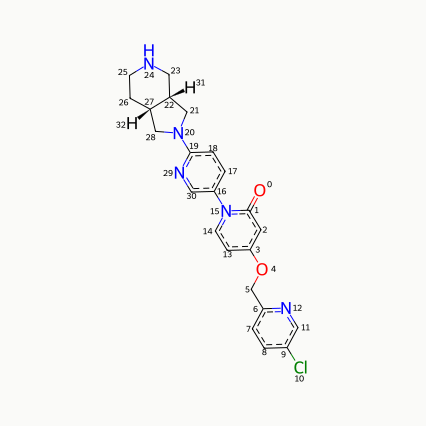 O=c1cc(OCc2ccc(Cl)cn2)ccn1-c1ccc(N2C[C@H]3CNCC[C@H]3C2)nc1